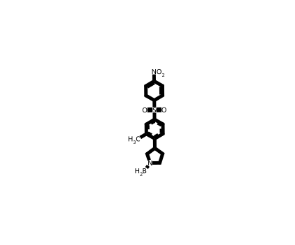 BN1CCC(c2ccc(S(=O)(=O)C3C=CC([N+](=O)[O-])=CC3)cc2C)C1